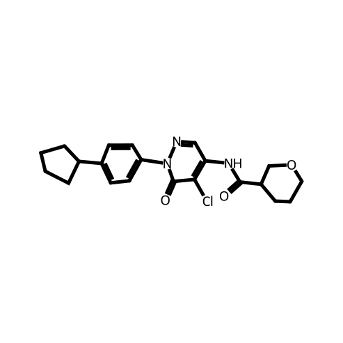 O=C(Nc1cnn(-c2ccc(C3CCCC3)cc2)c(=O)c1Cl)C1CCCOC1